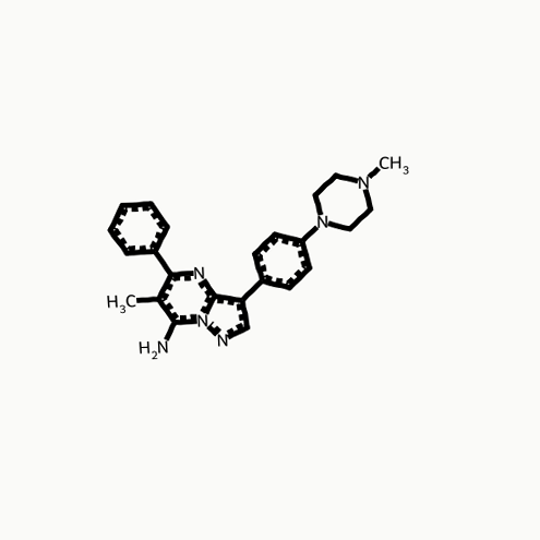 Cc1c(-c2ccccc2)nc2c(-c3ccc(N4CCN(C)CC4)cc3)cnn2c1N